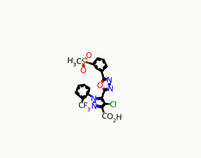 CS(=O)(=O)c1cccc(-c2nnc(-c3c(Cl)c(C(=O)O)nn3-c3ccccc3C(F)(F)F)o2)c1